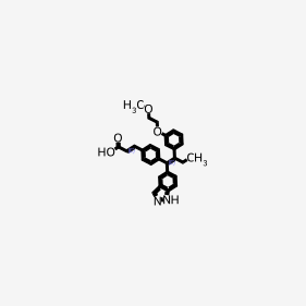 CC/C(=C(/c1ccc(/C=C/C(=O)O)cc1)c1ccc2[nH]ncc2c1)c1cccc(OCCOC)c1